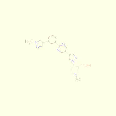 CC(=O)N1CCC(n2cc(-c3cnc(-c4cccc(-c5cnn(C)c5)c4)nc3)cn2)C(CO)C1